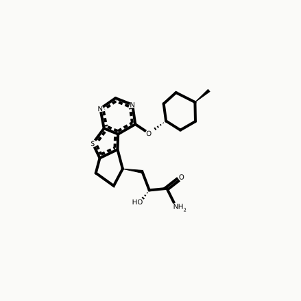 C[C@H]1CC[C@H](Oc2ncnc3sc4c(c23)[C@@H](C[C@@H](O)C(N)=O)CC4)CC1